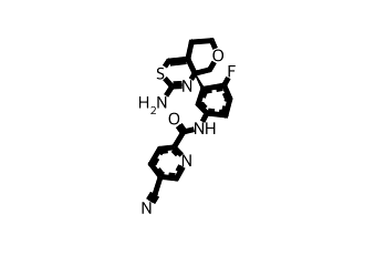 N#Cc1ccc(C(=O)Nc2ccc(F)c([C@]34COCCC3=CSC(N)=N4)c2)nc1